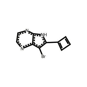 Brc1c(C2=CC=C2)[nH]c2nccnc12